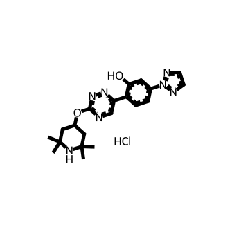 CC1(C)CC(Oc2ncc(-c3ccc(-n4nccn4)cc3O)nn2)CC(C)(C)N1.Cl